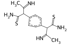 CC(=N)C(C(N)=S)c1ccc(C(C(C)=N)C(N)=S)cc1